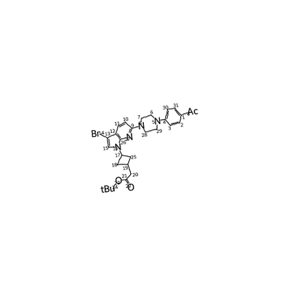 CC(=O)c1ccc(N2CCN(c3ccc4c(Br)cn(C5CC(CC(=O)OC(C)(C)C)C5)c4n3)CC2)cc1